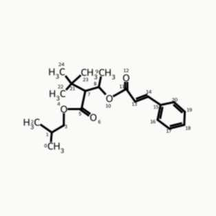 CC(C)COC(=O)C(C(C)OC(=O)/C=C/c1ccccc1)C(C)(C)C